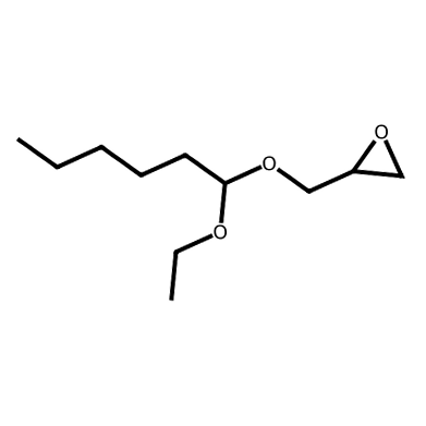 CCCCCC(OCC)OCC1CO1